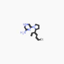 C=C/C(=C\C=C/CC)C1CCCN1C1=CNCC(N)=N1